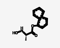 C[C@H](NO)C(=O)Oc1cccc2ccccc12